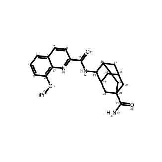 CC(C)Oc1cccc2ccc(C(=O)NC3C4CC5CC3CC(C(N)=O)(C5)C4)nc12